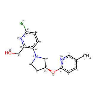 Cc1ccc(O[C@H]2CCN(c3ccc(Br)nc3CO)C2)nc1